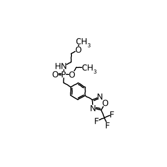 CCOP(=O)(Cc1ccc(-c2noc(C(F)(F)F)n2)cc1)NCCOC